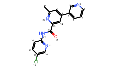 Cc1cc(-c2cccnc2)cc(C(=O)Nc2ccc(Cl)cn2)n1